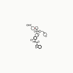 O=[C][C@H]1CC[C@H](OC(C(=O)Cc2cc(Cl)c(NC(=O)c3coc4ccccc34)cc2F)(N2CCCC2)N2CC(CN3CCOCC3)C2)CC1